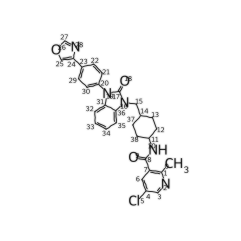 Cc1ncc(Cl)cc1C(=O)NC1CCC(Cn2c(=O)n(-c3ccc(-c4cocn4)cc3)c3ccccc32)CC1